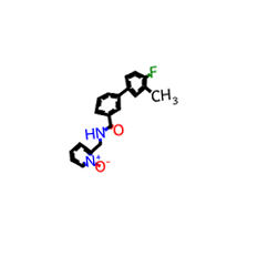 Cc1cc(-c2cccc(C(=O)NCc3cccc[n+]3[O-])c2)ccc1F